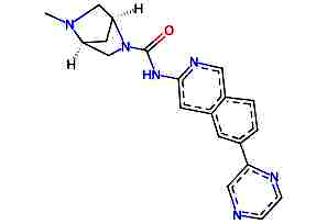 CN1C[C@@H]2C[C@H]1CN2C(=O)Nc1cc2cc(-c3cnccn3)ccc2cn1